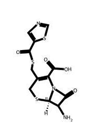 NC1C(=O)N2C(C(=O)O)=C(CSC(=O)c3cncs3)CS[C@H]12